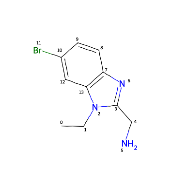 CCn1c(CN)nc2ccc(Br)cc21